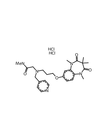 CNC(=O)CN(CCCOc1ccc2c(c1)N(C)C(=O)C(C)(C)C(=O)N2C)Cc1ccncc1.Cl.Cl